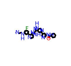 CN(C)CCNc1cc(F)cc(-c2nccc3[nH]c(-c4n[nH]c5cnc(-c6cncc(NC(=O)C7CCCCC7)c6)cc45)nc23)c1